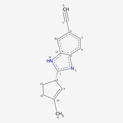 C#Cc1ccc2nc([C@@H]3C=C(C)CC3)[nH]c2c1